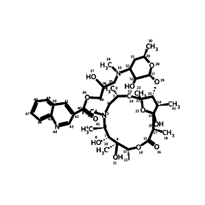 C[C@H]1CN(C)[C@H](C)[C@@H](O)[C@](C)(O)[C@@H](I)OC(=O)[C@H](C)C2(O)O[C@@](C)(C1)[C@H](O[C@@H]1O[C@H](C)CC(N(C)CC(O)COC(=O)c3cnc4ccccc4c3)C1O)[C@H]2C